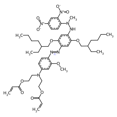 C=CC(=O)OCCN(CCOC(=O)C=C)c1ccc(/N=N/c2cc(OCC(CC)CCCC)c(NN(C)c3ccc([N+](=O)[O-])cc3[N+](=O)[O-])cc2OCC(CC)CCCC)c(OC)c1